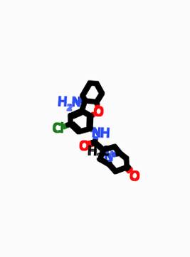 CN1C2CC(=O)CC1CC(C(=O)Nc1cc(Cl)cc3c1OC1CCCCC31N)C2